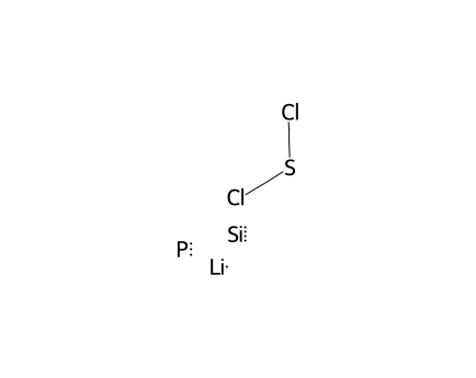 ClSCl.[Li].[P].[Si]